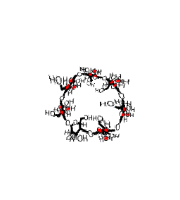 OC[C@H]1OC2OC3[C@@H](CO)OC(OC4[C@@H](CO)OC(OC5[C@@H](CO)OC(O[C@H]6[C@H](O)[C@@H](O)C(O[C@H]7[C@H](O)[C@@H](O)C(O[C@H]8[C@H](O)[C@@H](O)C(OC1[C@H](O)[C@H]2O)O[C@@H]8CO)O[C@@H]7CO)O[C@@H]6CO)[C@H](O)[C@H]5O)[C@H](O)[C@H]4O)[C@H](O)[C@H]3O